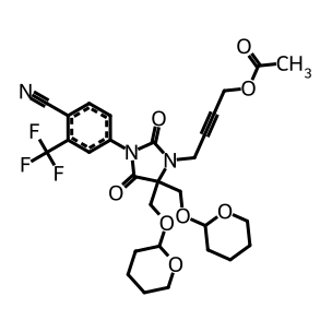 CC(=O)OCC#CCN1C(=O)N(c2ccc(C#N)c(C(F)(F)F)c2)C(=O)C1(COC1CCCCO1)COC1CCCCO1